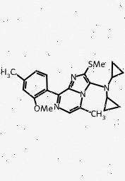 COc1cc(C)ccc1-c1ncc(C)n2c(N(C3CC3)C3CC3)c(SC)nc12